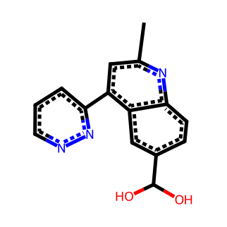 Cc1cc(-c2cccnn2)c2cc(C(O)O)ccc2n1